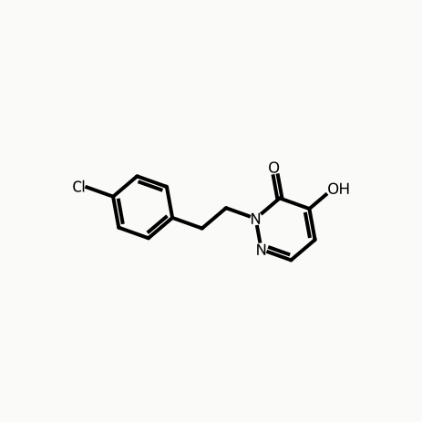 O=c1c(O)ccnn1CCc1ccc(Cl)cc1